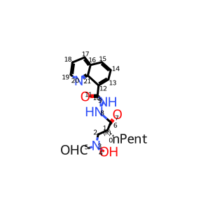 CCCCC[C@H](CN(O)C=O)C(=O)NNC(=O)c1cccc2cccnc12